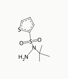 CC(C)(C)N(N)S(=O)(=O)c1cccs1